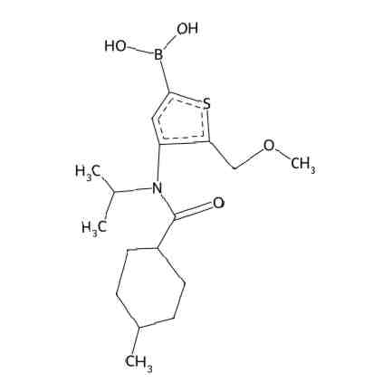 COCc1sc(B(O)O)cc1N(C(=O)C1CCC(C)CC1)C(C)C